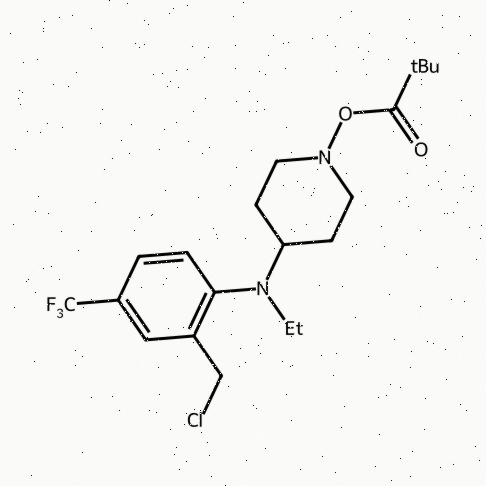 CCN(c1ccc(C(F)(F)F)cc1CCl)C1CCN(OC(=O)C(C)(C)C)CC1